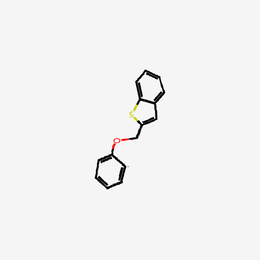 [c]1ccccc1OCc1cc2ccccc2s1